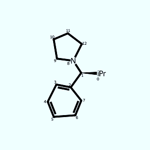 CC(C)[C@@H](c1ccccc1)N1CCCC1